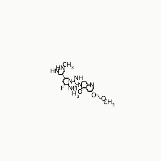 CN/C=C(\C=N)c1cc(F)c(=N)n(C(=N)C(C)n2ccc3ncc(OCCOC)cc3c2=O)c1